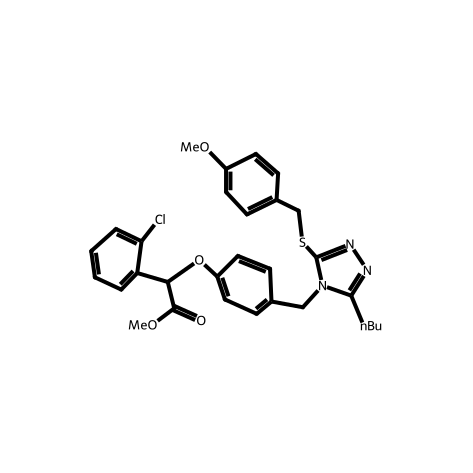 CCCCc1nnc(SCc2ccc(OC)cc2)n1Cc1ccc(OC(C(=O)OC)c2ccccc2Cl)cc1